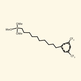 CO[Si](CCCCCCCCCCc1cc(C(F)(F)F)cc(C(F)(F)F)c1)(OC)OC